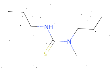 CCCNC(=S)N(C)CCC